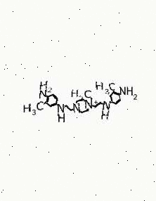 C=C[N+]1(CCNc2ccc(N)c(C)c2)CCN(CCNc2ccc(N)c(C)c2)CC1